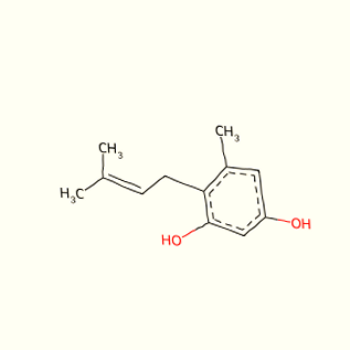 CC(C)=CCc1c(C)cc(O)cc1O